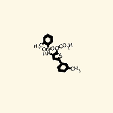 Cc1cccc(-c2cc(NS(=O)(=O)c3ccccc3C)c(OC(=O)O)s2)c1